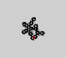 c1ccc(-c2ccc(N3c4cc5ccccc5cc4B4c5cc6ccccc6cc5N(c5ccc(-c6ccccc6)cc5)c5cc(-c6nc(-c7cc(-c8ccccc8)cc(-c8ccccc8)c7)nc7ccccc67)cc3c54)cc2)cc1